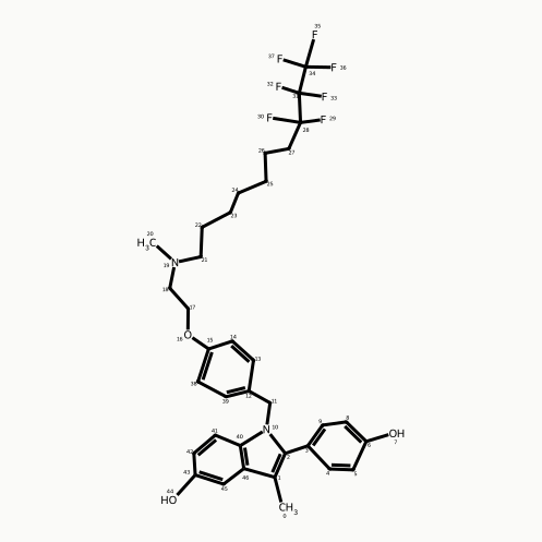 Cc1c(-c2ccc(O)cc2)n(Cc2ccc(OCCN(C)CCCCCCCC(F)(F)C(F)(F)C(F)(F)F)cc2)c2ccc(O)cc12